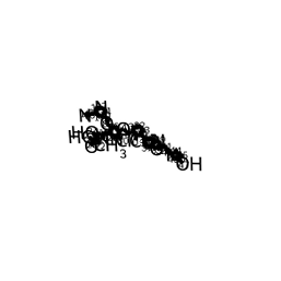 Cc1c(COc2cc(OCc3cncc(C#N)c3)c(CNC(C)(CO)C(=O)O)cc2Cl)cccc1-c1ccc2oc(CCN3CCC(O)C3)nc2c1